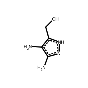 Nc1n[nH]c(CO)c1N